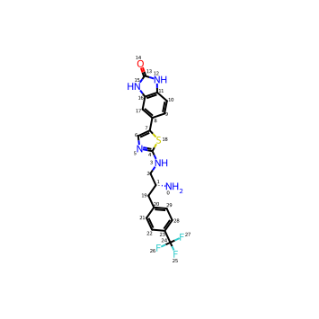 N[C@@H](CNc1ncc(-c2ccc3[nH]c(=O)[nH]c3c2)s1)Cc1ccc(C(F)(F)F)cc1